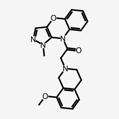 COc1cccc2c1CN(CC(=O)N1c3ccccc3Oc3cnn(C)c31)CC2